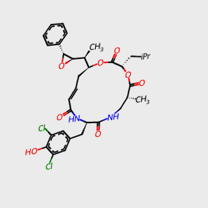 CC(C)C[C@@H]1OC(=O)[C@H](C)CNC(=O)[C@@H](Cc2cc(Cl)c(O)c(Cl)c2)NC(=O)/C=C/C[C@@H]([C@H](C)[C@H]2O[C@@H]2c2ccccc2)OC1=O